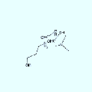 CN(C)C.NCCCO.O=CO.O=CO